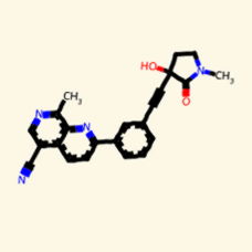 Cc1ncc(C#N)c2ccc(-c3cccc(C#CC4(O)CCN(C)C4=O)c3)nc12